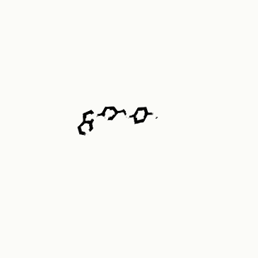 COc1ccc(NC(=O)c2ccc(-n3ccc4ccncc43)nc2)cc1